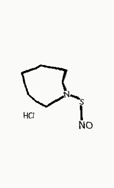 Cl.O=NSN1CCCCC1